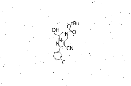 CC(C)(C)OC(=O)N1Cc2c(C#N)c(-c3cccc(Cl)c3)nn2C(CO)C1